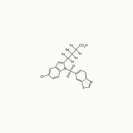 [2H]C([2H])(C(=O)O)C([2H])([2H])C([2H])([2H])c1cc2cc(Cl)ccc2n1S(=O)(=O)c1ccc2ncsc2c1